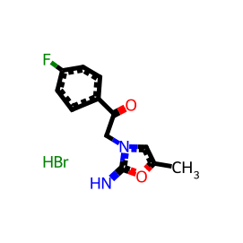 Br.Cc1cn(CC(=O)c2ccc(F)cc2)c(=N)o1